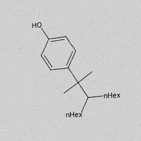 CCCCCCC(CCCCCC)C(C)(C)c1ccc(O)cc1